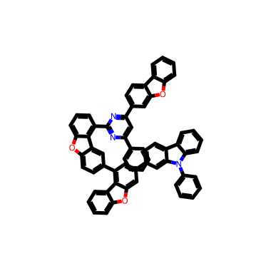 c1ccc(-c2cc(-c3ccc4c(c3)oc3ccccc34)nc(-c3cccc4oc5ccc(-c6cc(-c7ccc8c9ccccc9n(-c9ccccc9)c8c7)cc7oc8ccccc8c67)cc5c34)n2)cc1